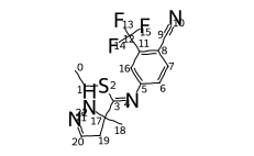 CCSC(=Nc1ccc(C#N)c(C(F)(F)F)c1)C1(C)CC=NN1